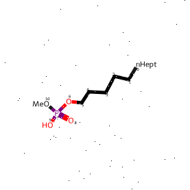 CCCCCCCCCCCCOP(=O)(O)OC